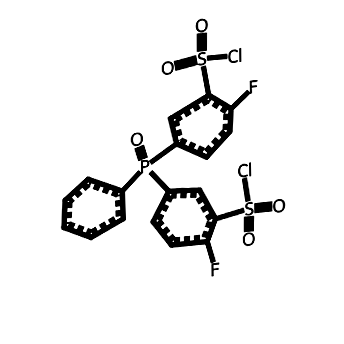 O=P(c1ccccc1)(c1ccc(F)c(S(=O)(=O)Cl)c1)c1ccc(F)c(S(=O)(=O)Cl)c1